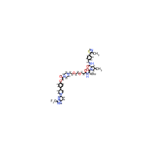 Cc1ncsc1-c1ccc(CNC(=O)[C@@H]2CC(C)CN2C(=O)[C@@H](NC(=O)CCOCCOCCN2CCN(C(=O)COc3ccc(C4CCN(C5=Nn6c(nnc6C(F)(F)F)CC5)CC4)cc3)CC2)C(C)(C)C)cc1